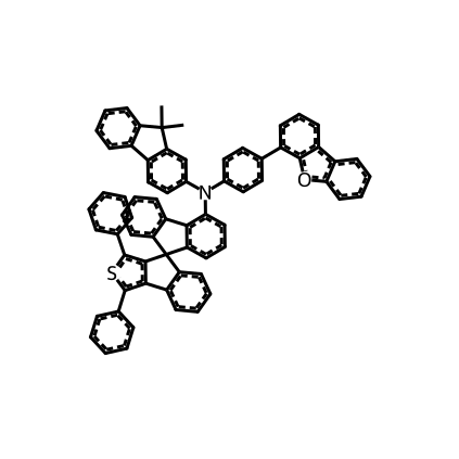 CC1(C)c2ccccc2-c2ccc(N(c3ccc(-c4cccc5c4oc4ccccc45)cc3)c3cccc4c3-c3ccccc3C43c4ccccc4-c4c(-c5ccccc5)sc(-c5ccccc5)c43)cc21